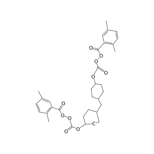 Cc1ccc(C)c(C(=O)OOC(=O)OC2CCC(CC3CCC(OC(=O)OOC(=O)c4cc(C)ccc4C)CC3)CC2)c1